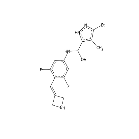 CCc1n[nH]c(C(O)Nc2cc(F)c(C=C3CNC3)c(F)c2)c1C